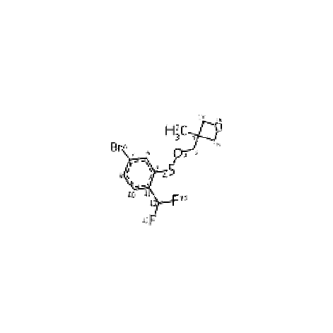 CC1(COSc2cc(Br)ccc2C(F)F)COC1